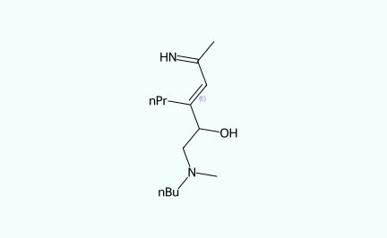 CCCCN(C)CC(O)/C(=C/C(C)=N)CCC